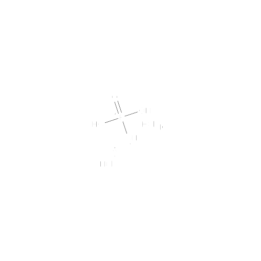 Cl.Cl.Cl.O=P(O)(O)O.[Al]